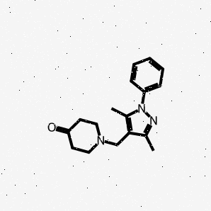 Cc1nn(-c2ccccc2)c(C)c1CN1CCC(=O)CC1